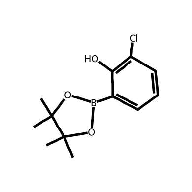 CC1(C)OB(c2cccc(Cl)c2O)OC1(C)C